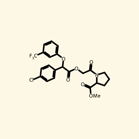 COC(=O)C1CCCN1C(=O)COC(=O)C(Oc1cccc(C(F)(F)F)c1)c1ccc(Cl)cc1